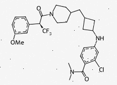 COc1cccc([C@@H](C(=O)N2CCC(CC3CC(Nc4ccc(C(=O)N(C)C)c(Cl)c4)C3)CC2)C(F)(F)F)c1